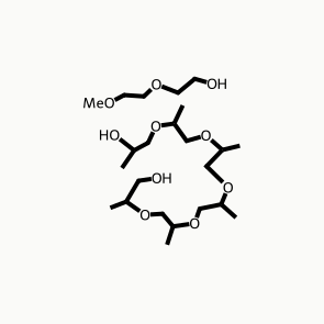 CC(O)COC(C)COC(C)COC(C)COC(C)COC(C)CO.COCCOCCO